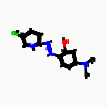 CCN(CC)c1ccc(/N=N/c2ccc(Cl)cn2)c(O)c1